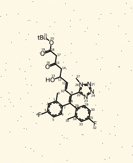 Cc1cc(F)ccc1C(=C(/C=C/C(O)CC(=O)CC(=O)OC(C)(C)C)c1nnnn1C)c1ccc(F)cc1C